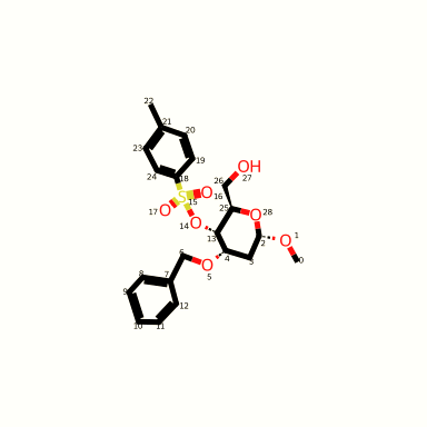 CO[C@@H]1C[C@H](OCc2ccccc2)[C@H](OS(=O)(=O)c2ccc(C)cc2)[C@@H](CO)O1